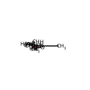 CCCCCCCCCCCCCCCCCC(=O)Nc1ccc2cc(S(=O)(=O)O)c(/N=N/c3cc(OCC)c(/N=N/c4cccc(P(=O)(O)O)c4)cc3OCC)c(O)c2c1